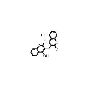 O=c1oc2cccc(O)c2cc1Cc1c(O)c2ccccc2oc1=O